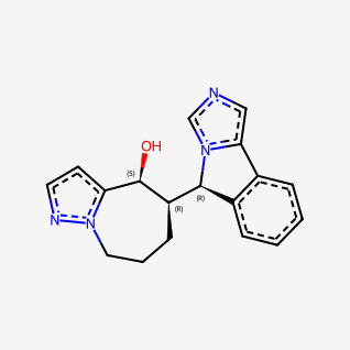 O[C@@H]1c2ccnn2CCC[C@@H]1[C@@H]1c2ccccc2-c2cncn21